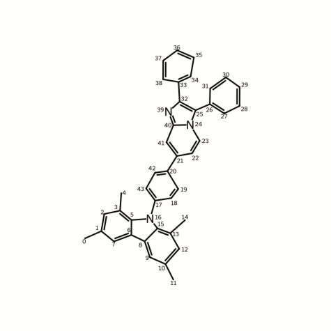 Cc1cc(C)c2c(c1)c1cc(C)cc(C)c1n2-c1ccc(-c2ccn3c(-c4ccccc4)c(-c4ccccc4)nc3c2)cc1